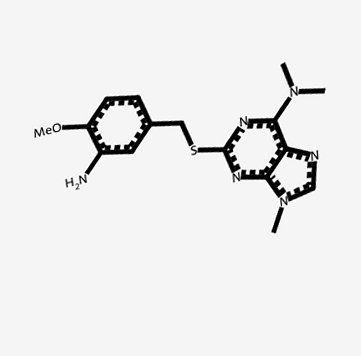 COc1ccc(CSc2nc(N(C)C)c3ncn(C)c3n2)cc1N